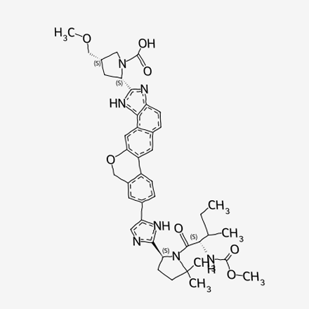 CCC(C)[C@H](NC(=O)OC)C(=O)N1[C@H](c2ncc(-c3ccc4c(c3)COc3cc5c(ccc6nc([C@@H]7C[C@H](COC)CN7C(=O)O)[nH]c65)cc3-4)[nH]2)CCC1(C)C